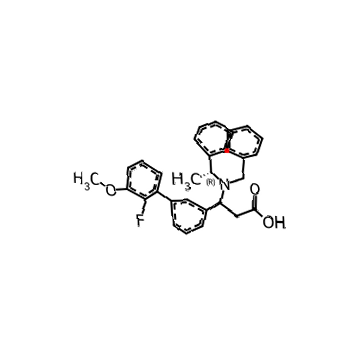 COc1cccc(-c2cccc(C(CC(=O)O)N(Cc3ccccc3)[C@H](C)c3ccccc3)c2)c1F